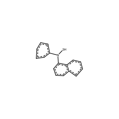 SN(c1ccccc1)c1cccc2ccccc12